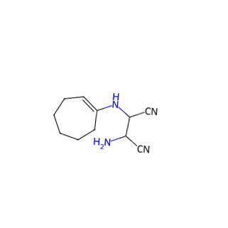 N#CC(N)C(C#N)NC1=CCCCCC1